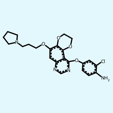 Nc1ccc(Oc2ncnc3cc(OCCCN4CCCC4)c4c(c23)OCCO4)cc1Cl